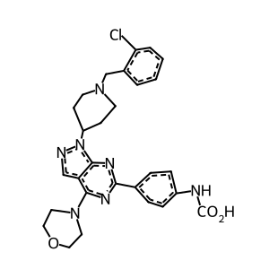 O=C(O)Nc1ccc(-c2nc(N3CCOCC3)c3cnn(C4CCN(Cc5ccccc5Cl)CC4)c3n2)cc1